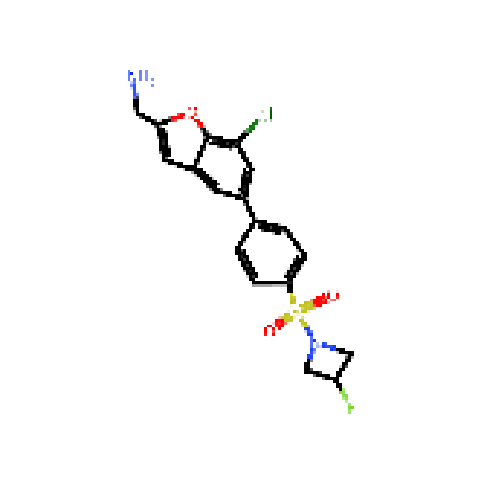 NCc1cc2cc(-c3ccc(S(=O)(=O)N4CC(F)C4)cc3)cc(Cl)c2o1